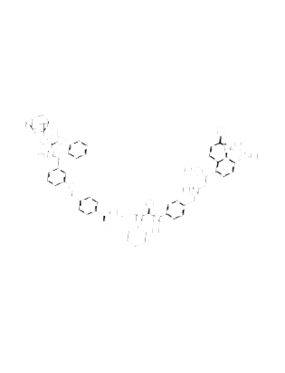 O=C(NC(c1ccccc1)c1cccc(OCc2ccc(C(=O)OCCN(C(=O)Nc3ccc(CNC[C@@H](O)c4ccc(O)c5[nH]c(=O)ccc45)cc3)C3CCCCC3)cc2)c1)O[C@H]1CN2CCC1CC2